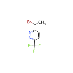 CC(Br)c1ccc(C(F)(F)F)nn1